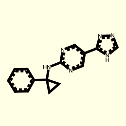 c1ccc(C2(Nc3ncc(-c4nnc[nH]4)cn3)CC2)cc1